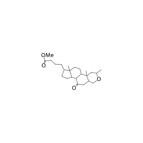 COC(=O)CCCC1CCC2C3C(=O)CC4COC(C)CC4(C)C3CCC12C